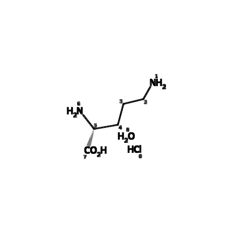 Cl.NCCC[C@@H](N)C(=O)O.O